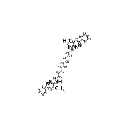 Cc1cc(-c2ccccc2)nnc1NCCCCCCCCCCCCNc1nnc(-c2ccccc2)cc1C